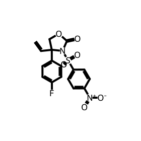 C=CC1(c2ccc(F)cc2)COC(=O)N1S(=O)(=O)c1ccc([N+](=O)[O-])cc1